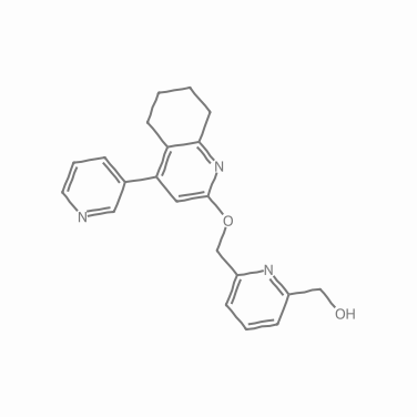 OCc1cccc(COc2cc(-c3cccnc3)c3c(n2)CCCC3)n1